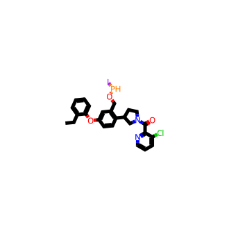 CCc1ccccc1Oc1ccc(C2CCN(C(=O)c3ncccc3Cl)C2)c(COPI)c1